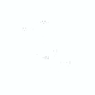 COc1ccc(-c2cc(F)c(NC(=O)c3ccccc3C(=O)O)c(Cl)c2)cc1OC